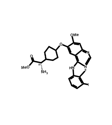 COC(=O)[C@@H](N)C1CCC(Oc2cc3c(Nc4cccc(I)c4F)ncnc3cc2OC)CC1